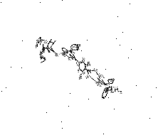 CC(C)C(=S)NC[C@H]1CN(c2cc(F)c(N3CCN(S(C)(=O)=O)CC3)c(F)c2)C(=O)O1